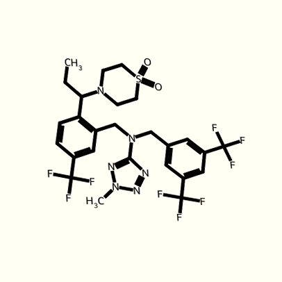 CCC(c1ccc(C(F)(F)F)cc1CN(Cc1cc(C(F)(F)F)cc(C(F)(F)F)c1)c1nnn(C)n1)N1CCS(=O)(=O)CC1